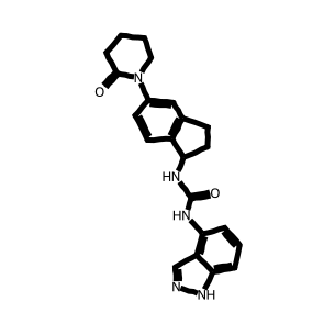 O=C(Nc1cccc2[nH]ncc12)NC1CCc2cc(N3CCCCC3=O)ccc21